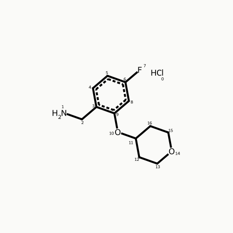 Cl.NCc1ccc(F)cc1OC1CCOCC1